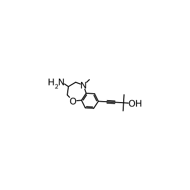 CN1CC(N)COc2ccc(C#CC(C)(C)O)cc21